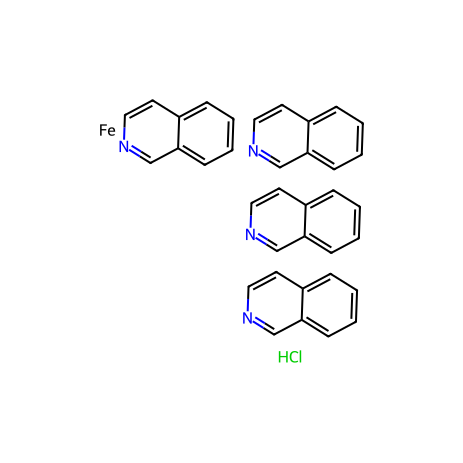 Cl.[Fe].c1ccc2cnccc2c1.c1ccc2cnccc2c1.c1ccc2cnccc2c1.c1ccc2cnccc2c1